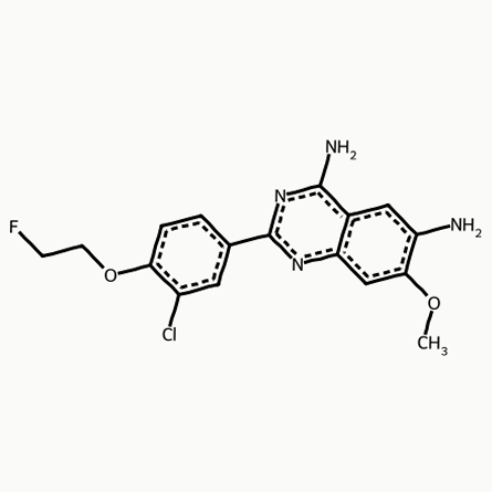 COc1cc2nc(-c3ccc(OCCF)c(Cl)c3)nc(N)c2cc1N